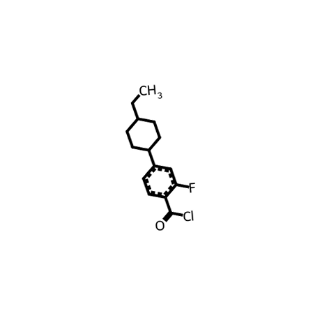 CCC1CCC(c2ccc(C(=O)Cl)c(F)c2)CC1